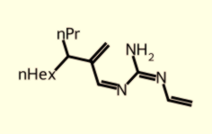 C=C/N=C(N)\N=C/C(=C)C(CCC)CCCCCC